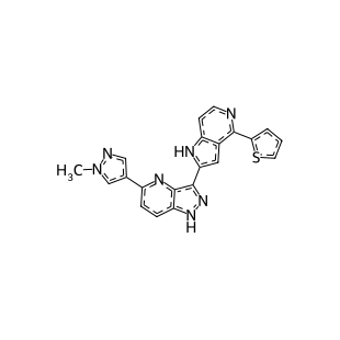 Cn1cc(-c2ccc3[nH]nc(-c4cc5c(-c6cccs6)nccc5[nH]4)c3n2)cn1